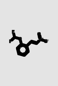 O=[N+]([O-])C=Cc1ccccc1OC(F)F